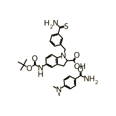 CC(C)(C)OC(=O)Nc1ccc2c(c1)CC(C(=O)O)N2Cc1cccc(C(N)=S)c1.CN(C)c1ccc(C(N)=O)cc1